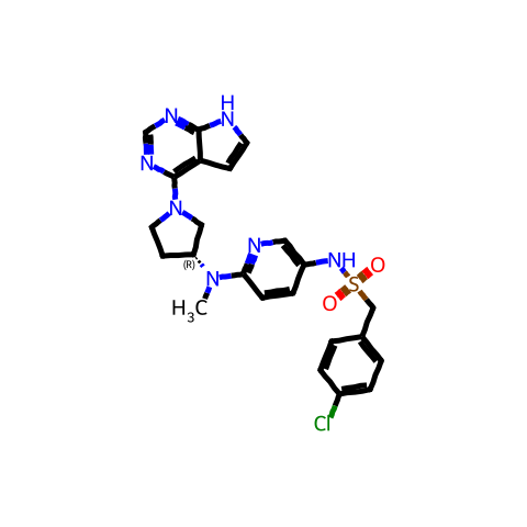 CN(c1ccc(NS(=O)(=O)Cc2ccc(Cl)cc2)cn1)[C@@H]1CCN(c2ncnc3[nH]ccc23)C1